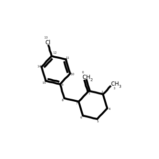 C=C1C(C)CCCC1Cc1ccc(Cl)cc1